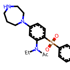 CCN(C(C)=O)c1cc(N2CCCNCC2)ccc1S(=O)(=O)c1ccccc1